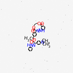 CC(OC(=O)/C(=N\Nc1ccccc1)c1ccc(N(C)C)cc1)c1ccc(/C2=N/Nc3ccccc3C(=O)OCCCOC2=O)cc1